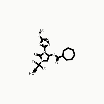 C#CC(CC)(CC)N1CC(OC(=O)C2CCCCCC2)N(c2nnc(OCC)s2)C1=O